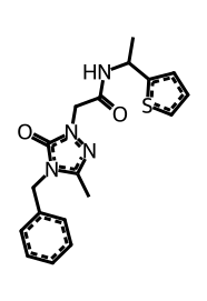 Cc1nn(CC(=O)NC(C)c2cccs2)c(=O)n1Cc1ccccc1